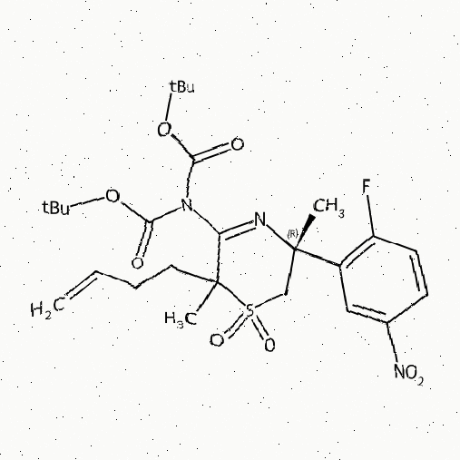 C=CCCC1(C)C(N(C(=O)OC(C)(C)C)C(=O)OC(C)(C)C)=N[C@](C)(c2cc([N+](=O)[O-])ccc2F)CS1(=O)=O